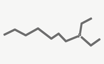 CCCCCCCP(CC)CC